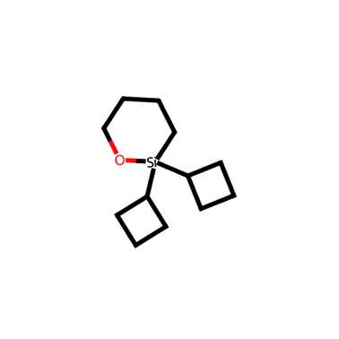 C1CC[Si](C2CCC2)(C2CCC2)OC1